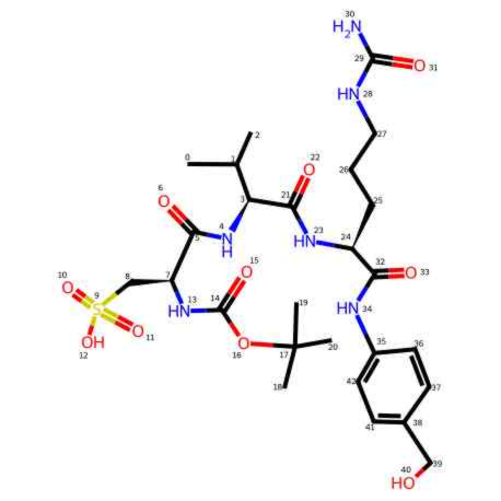 CC(C)[C@H](NC(=O)[C@H](CS(=O)(=O)O)NC(=O)OC(C)(C)C)C(=O)N[C@@H](CCCNC(N)=O)C(=O)Nc1ccc(CO)cc1